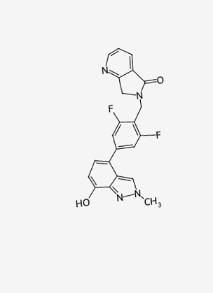 Cn1cc2c(-c3cc(F)c(CN4Cc5ncccc5C4=O)c(F)c3)ccc(O)c2n1